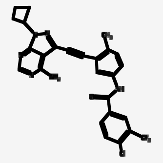 Cc1ccc(NC(=O)c2ccc(Cl)c(C(F)(F)F)c2)cc1C#Cc1nn(C2CCC2)c2ncnc(N)c12